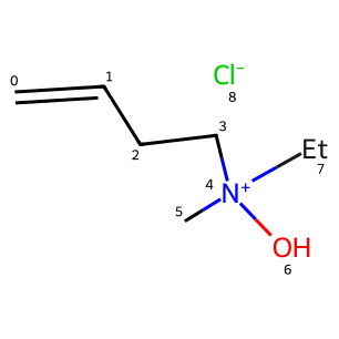 C=CCC[N+](C)(O)CC.[Cl-]